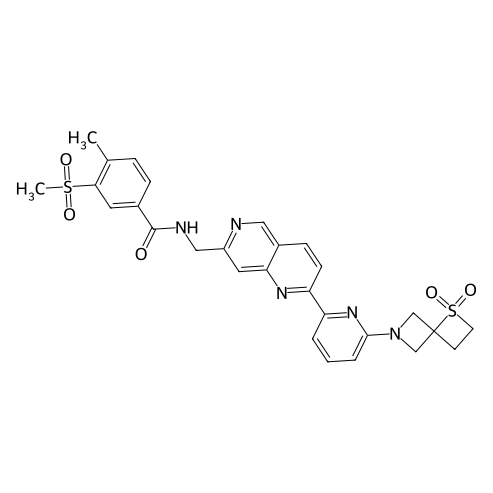 Cc1ccc(C(=O)NCc2cc3nc(-c4cccc(N5CC6(CCS6(=O)=O)C5)n4)ccc3cn2)cc1S(C)(=O)=O